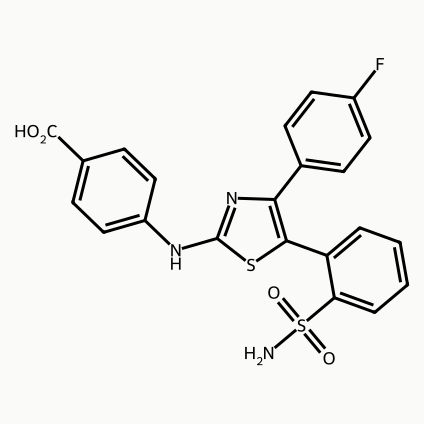 NS(=O)(=O)c1ccccc1-c1sc(Nc2ccc(C(=O)O)cc2)nc1-c1ccc(F)cc1